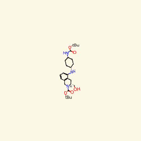 CC(C)(C)OC(=O)N[C@H]1CC[C@H](Nc2cccc3c2C[C@H](CO)N(C(=O)OC(C)(C)C)C3)CC1